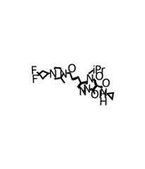 CC(C)Cn1c(=O)c(C(=O)NC2CC2)c(O)n2ncc(C=CC(=O)N3CCN(C4CC(F)(F)C4)CC3C)c12